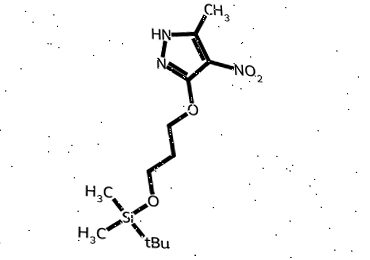 Cc1[nH]nc(OCCCO[Si](C)(C)C(C)(C)C)c1[N+](=O)[O-]